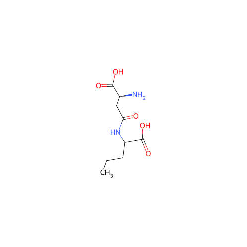 CCCC(NC(=O)C[C@H](N)C(=O)O)C(=O)O